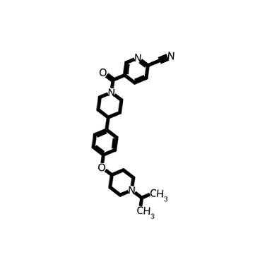 CC(C)N1CCC(Oc2ccc(C3CCN(C(=O)c4ccc(C#N)nc4)CC3)cc2)CC1